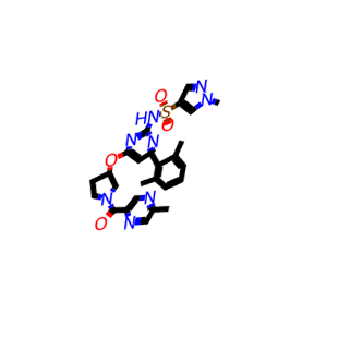 Cc1cnc(C(=O)N2CCC(Oc3cc(-c4c(C)cccc4C)nc(NS(=O)(=O)c4cnn(C)c4)n3)C2)cn1